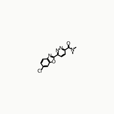 CN(C)C(=O)c1ccc(-c2nc3ccc(Cl)cc3o2)nn1